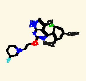 COc1cc(Cl)c(-c2nc(OCCN3CCC[C@H](F)C3)nc3[nH]cc(C#N)c23)c(OC)c1